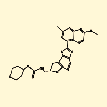 COc1cnc2c(-c3nc4ccc5c(c4s3)C[C@@H](CNC(=O)OC3CCOCC3)O5)cc(C)cc2n1